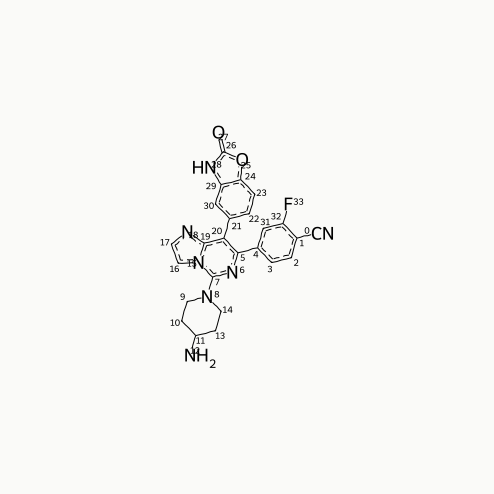 N#Cc1ccc(-c2nc(N3CCC(N)CC3)n3ccnc3c2-c2ccc3oc(=O)[nH]c3c2)cc1F